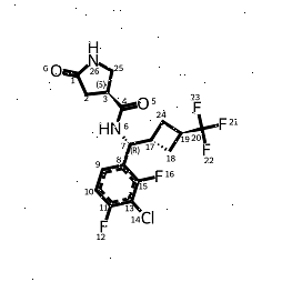 O=C1C[C@H](C(=O)N[C@@H](c2ccc(F)c(Cl)c2F)[C@H]2C[C@H](C(F)(F)F)C2)CN1